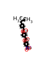 CCC(C)Cc1ccc(C(=O)Oc2ccc(C(=O)Oc3ccc([N+](=O)[O-])cc3)cc2)cc1